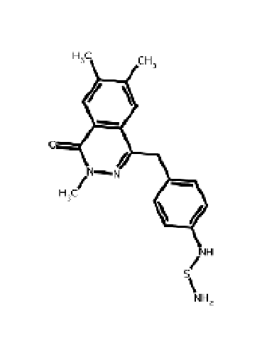 Cc1cc2c(Cc3ccc(NSN)cc3)nn(C)c(=O)c2cc1C